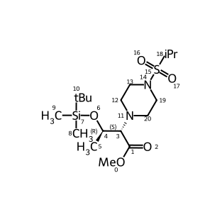 COC(=O)[C@H]([C@@H](C)O[Si](C)(C)C(C)(C)C)N1CCN(S(=O)(=O)C(C)C)CC1